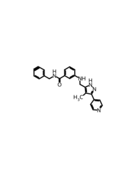 Cc1c(-c2ccncc2)n[nH]c1CNc1cccc(C(=O)NCc2cc#ccc2)c1